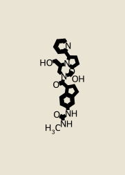 CNC(=O)Nc1ccc2c(c1)CCC2C(=O)N(CC(=CO)N1CCCC1c1ccccn1)C(=O)O